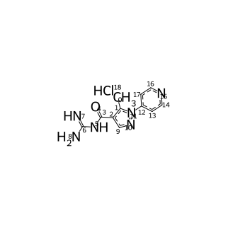 Cc1c(C(=O)NC(=N)N)cnn1-c1ccncc1.Cl